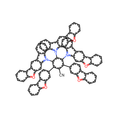 N#Cc1c(-c2ccc3c(c2)oc2ccccc23)c(-n2c3ccccc3c3cc4c(cc32)oc2ccccc24)c(-n2c3ccccc3c3cc4c(cc32)oc2ccccc24)c(-n2c3ccccc3c3cc4c(cc32)oc2ccccc24)c1-c1ccc2c(c1)oc1ccccc12